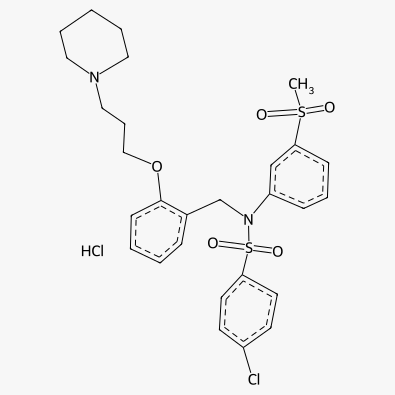 CS(=O)(=O)c1cccc(N(Cc2ccccc2OCCCN2CCCCC2)S(=O)(=O)c2ccc(Cl)cc2)c1.Cl